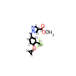 COC(=O)c1cnn(Cc2ccc(OC3CC3)c(C(F)(F)F)c2)c1